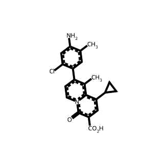 Cc1cc(-c2ccn3c(=O)c(C(=O)O)cc(C4CC4)c3c2C)c(Cl)cc1N